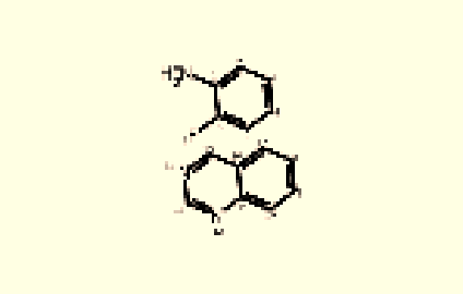 Nc1ccccc1F.c1ccc2ncncc2c1